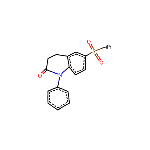 CC(C)S(=O)(=O)c1ccc2c(c1)CCC(=O)N2c1ccccc1